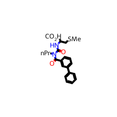 CCCN(C(=O)NC(CSC)C(=O)O)C(=O)c1cccc(-c2ccccc2)c1